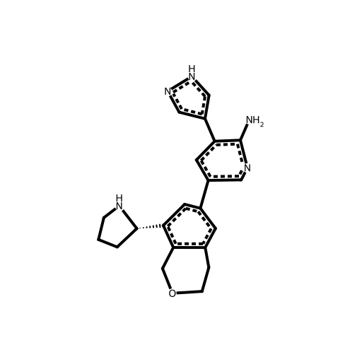 Nc1ncc(-c2cc3c(c([C@@H]4CCCN4)c2)COCC3)cc1-c1cn[nH]c1